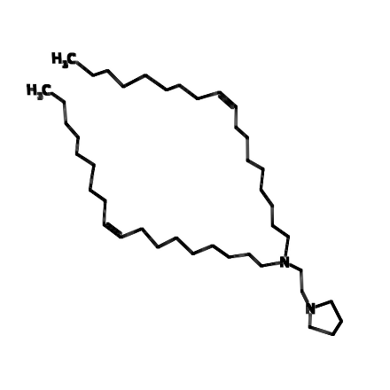 CCCCCCCC/C=C\CCCCCCCCN(CCCCCCCC/C=C\CCCCCCCC)CCN1CCCC1